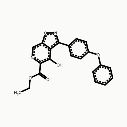 CCOC(=O)c1ncc2onc(-c3ccc(Oc4ccccc4)cc3)c2c1O